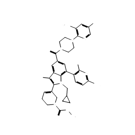 CCc1nc(C)ccc1-c1cc(C(=O)N2CCN(c3ncc(F)cc3OC)CC2)cc2c(F)c(C3=CCCN(C(=O)OC(C)(C)C)C3)n(CC3CC3)c12